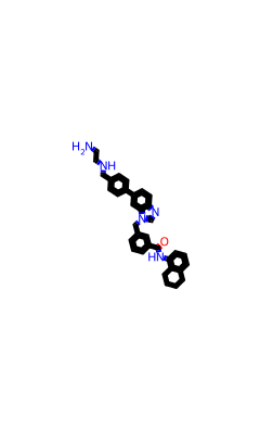 NCCNCc1ccc(-c2ccc3ncn(Cc4cccc(C(=O)Nc5cccc6c5CCCC6)c4)c3c2)cc1